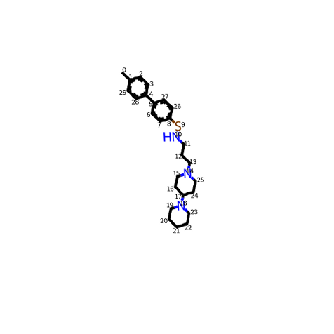 Cc1ccc(-c2ccc(SNCCCN3CCC(N4CCCCC4)CC3)cc2)cc1